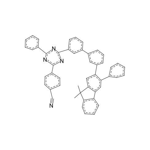 CC1(C)c2ccccc2-c2cc(-c3ccccc3)c(-c3cccc(-c4cccc(-c5nc(-c6ccccc6)nc(-c6ccc(C#N)cc6)n5)c4)c3)cc21